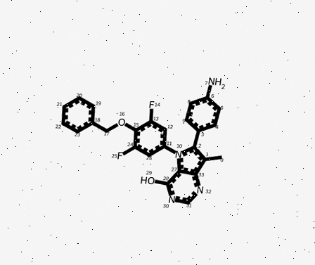 Cc1c(-c2ccc(N)cc2)n(-c2cc(F)c(OCc3ccccc3)c(F)c2)c2c(O)ncnc12